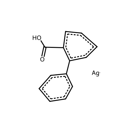 O=C(O)c1ccccc1-c1ccccc1.[Ag]